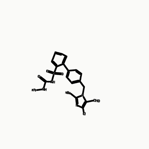 CCCCc1nc(Cl)c(C=O)n1Cc1ccc(-c2ccccc2S(=O)(=O)NC(=O)NCCC)cc1